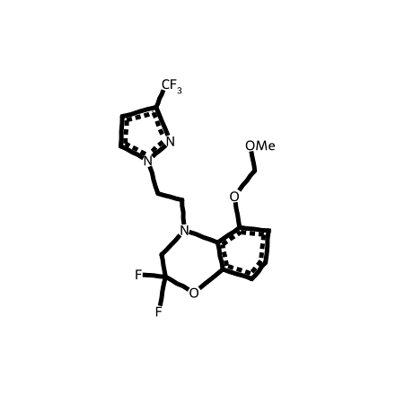 COCOc1cccc2c1N(CCn1ccc(C(F)(F)F)n1)CC(F)(F)O2